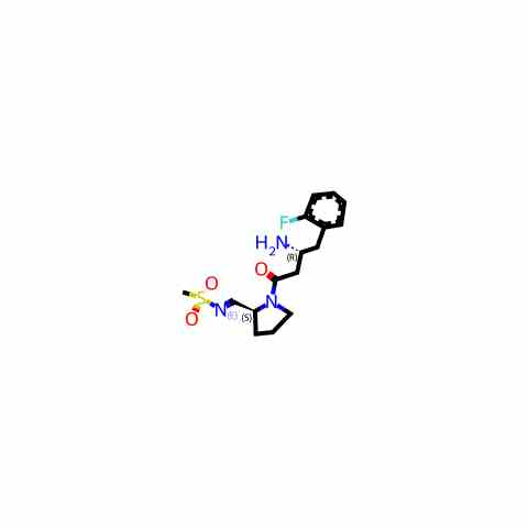 CS(=O)(=O)/N=C/[C@@H]1CCCN1C(=O)C[C@H](N)Cc1ccccc1F